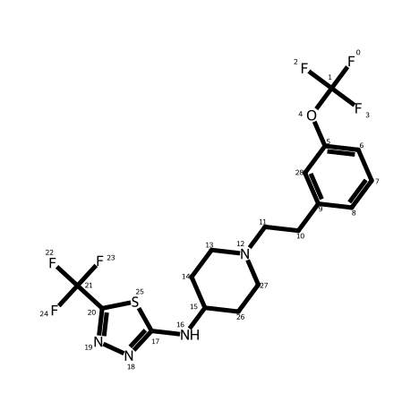 FC(F)(F)Oc1cccc(CCN2CCC(Nc3nnc(C(F)(F)F)s3)CC2)c1